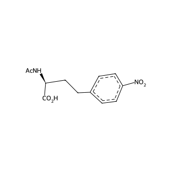 CC(=O)N[C@@H](CCc1ccc([N+](=O)[O-])cc1)C(=O)O